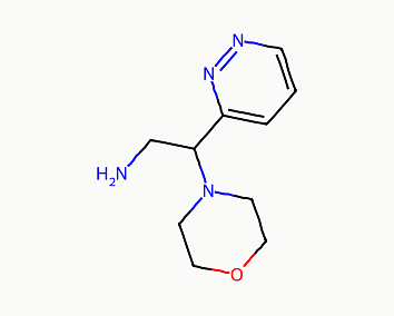 NCC(c1cccnn1)N1CCOCC1